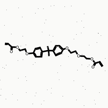 C=CC(=O)OCCOCCOc1ccc(C(C)(C)c2ccc(OCCOC(=O)C=C)cc2)cc1